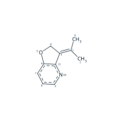 CC(C)=C1COc2cccnc21